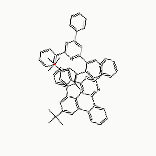 CC(C)(C)c1cc(-c2ccccc2-c2nc(-c3ccccc3)nc(-c3ccccc3)n2)c2oc3c(-c4ccccc4-c4nc(-c5ccccc5)nc(-c5ccccc5)n4)cc(C(C)(C)C)cc3c2c1